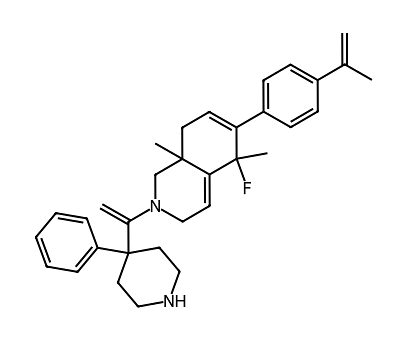 C=C(C)c1ccc(C2=CCC3(C)CN(C(=C)C4(c5ccccc5)CCNCC4)CC=C3C2(C)F)cc1